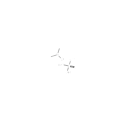 CCN(C)C.OP(O)(O)=S